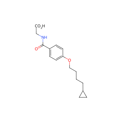 O=C(O)CNC(=O)c1ccc(OCCCCC2CC2)cc1